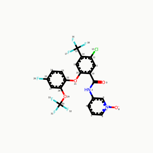 O=C(Nc1ccc[n+]([O-])c1)c1cc(Cl)c(C(F)(F)F)cc1Oc1ccc(F)cc1OC(F)(F)F